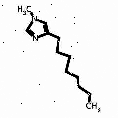 CCCCCCCCc1cn(C)cn1